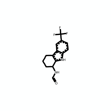 O=CNC1CCCc2c1[nH]c1ccc(C(F)(F)F)cc21